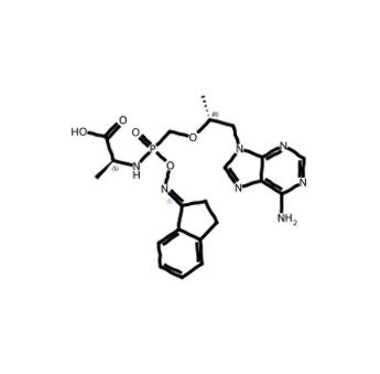 C[C@H](Cn1cnc2c(N)ncnc21)OCP(=O)(N[C@@H](C)C(=O)O)O/N=C1\CCc2ccccc21